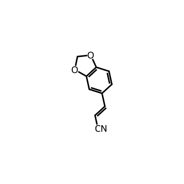 N#CC=Cc1ccc2c(c1)OCO2